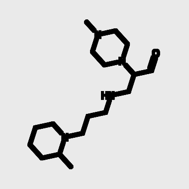 CC1CCCCN1CCCNCC(C=O)N1CCN(C)CC1